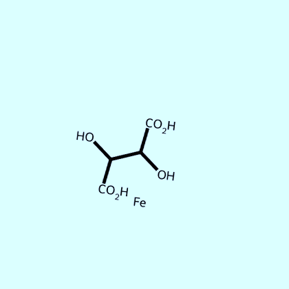 O=C(O)C(O)C(O)C(=O)O.[Fe]